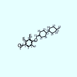 Cc1cc(C2CO2)c(F)c(F)c1OCC1CCC(C2CCC(C)CC2)CC1